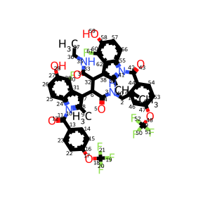 CCCNC(=O)C(c1c(C)n(C(=O)c2ccc(OC(F)(F)F)cc2)c2ccc(O)c(F)c12)C(C(=O)NCC)c1c(C)n(C(=O)c2ccc(OC(F)(F)F)cc2)c2ccc(O)c(F)c12